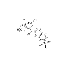 CC/C(=C(/CCO)C(=O)N1COc2ccc(C(F)(F)F)cc2C1)C(F)(F)F